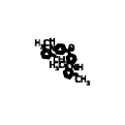 CCc1cccc(CC)c1Nc1ccc(C(=O)c2ccc(Nc3c(CC)cccc3CC)cc2)cc1